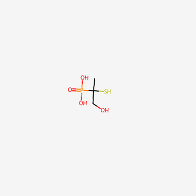 CC(S)(CO)P(=O)(O)O